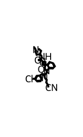 CN1CCC(NC(=O)N2CC3(C2)C(=O)N(Cc2cc4cc(Cl)ccc4n2CCCC#N)c2ccccc23)CC1